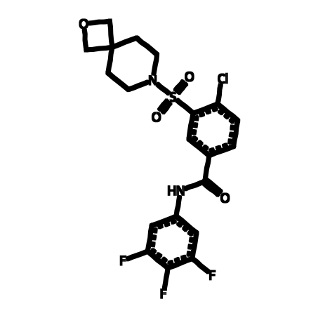 O=C(Nc1cc(F)c(F)c(F)c1)c1ccc(Cl)c(S(=O)(=O)N2CCC3(CC2)COC3)c1